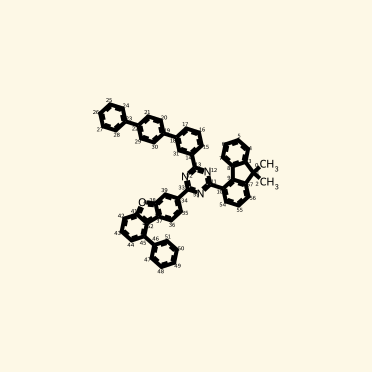 CC1(C)c2ccccc2-c2c(-c3nc(-c4cccc(-c5ccc(-c6ccccc6)cc5)c4)nc(-c4ccc5c(c4)oc4cccc(-c6ccccc6)c45)n3)cccc21